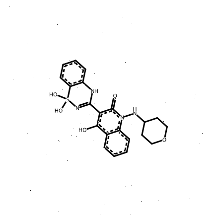 O=c1c(C2=NS(O)(O)c3ccccc3N2)c(O)c2ccccc2n1NC1CCOCC1